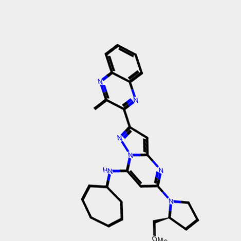 COC[C@@H]1CCCN1c1cc(NC2CCCCCC2)n2nc(-c3nc4ccccc4nc3C)cc2n1